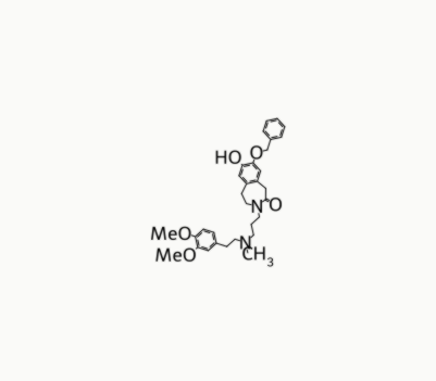 COc1ccc(CCN(C)CCCN2CCc3cc(O)c(OCc4ccccc4)cc3CC2=O)cc1OC